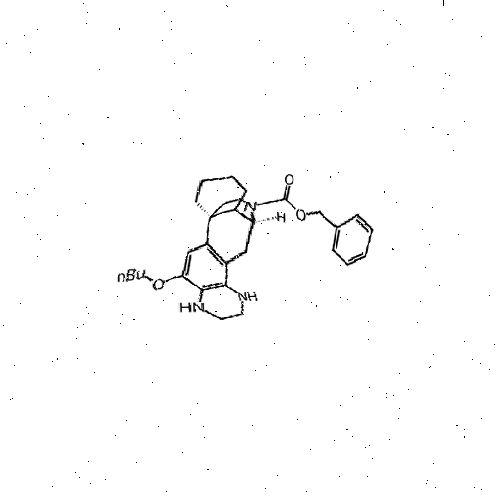 CCCCOc1cc2c(c3c1NCCN3)C[C@H]1C3CCCC[C@@]23CCN1C(=O)OCc1ccccc1